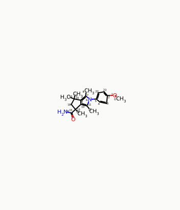 COc1ccc(-n2c(C)c3c(c2C)C(C)(C(N)=O)CC3(C)C)cc1